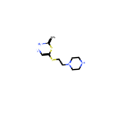 C=C(N)S/C(=C\N)SCCN1CCNCC1